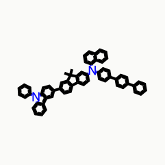 CC1(C)c2cc(-c3ccc4c(c3)c3ccccc3n4-c3ccccc3)ccc2-c2ccc(N(c3ccc(-c4ccc(-c5ccccc5)cc4)cc3)c3cccc4ccccc34)cc21